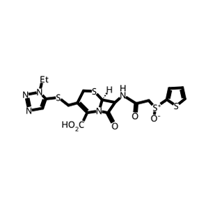 CCn1nncc1SCC1=C(C(=O)O)N2C(=O)C(NC(=O)C[S+]([O-])c3cccs3)[C@@H]2SC1